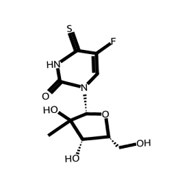 CC1(O)[C@@H](O)[C@@H](CO)O[C@H]1n1cc(F)c(=S)[nH]c1=O